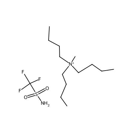 CCCC[N+](C)(CCCC)CCCC.NS(=O)(=O)C(F)(F)F